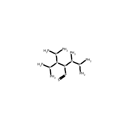 PP(P)P(P)P(P=S)P(P(P)P)P(P)P